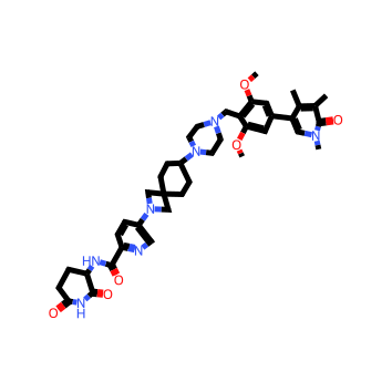 COc1cc(-c2cn(C)c(=O)c(C)c2C)cc(OC)c1CN1CCN(C2CCC3(CC2)CN(c2ccc(C(=O)NC4CCC(=O)NC4=O)nc2)C3)CC1